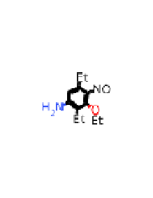 CCOc1c(CC)c(N)cc(CC)c1N=O